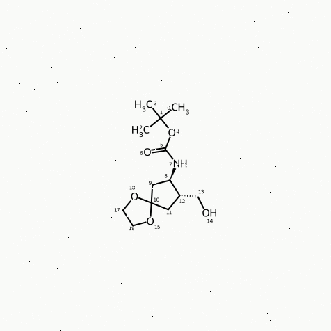 CC(C)(C)OC(=O)N[C@@H]1CC2(C[C@H]1CO)OCCO2